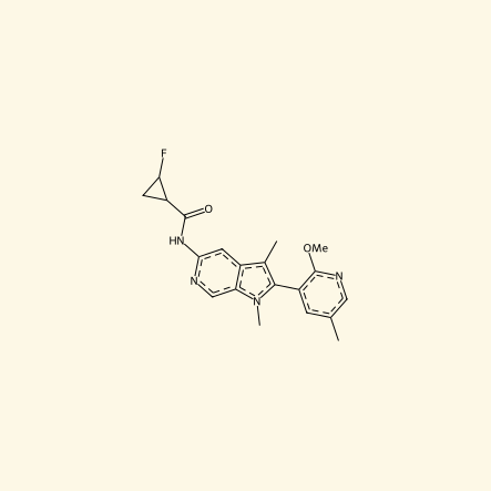 COc1ncc(C)cc1-c1c(C)c2cc(NC(=O)C3CC3F)ncc2n1C